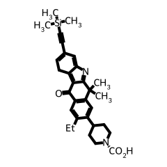 CCc1cc2c(cc1C1CCN(C(=O)O)CC1)C(C)(C)C1=NC3=CC(C#C[Si](C)(C)C)=CCC3=C1C2=O